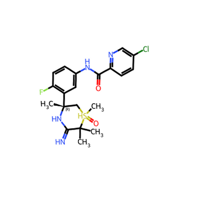 CC1(C)C(=N)N[C@](C)(c2cc(NC(=O)c3ccc(Cl)cn3)ccc2F)C[SH]1(C)=O